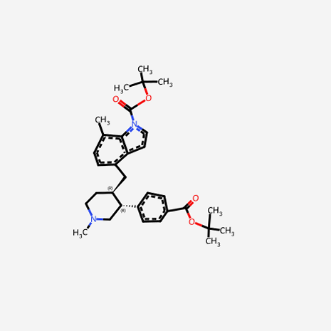 Cc1ccc(C[C@@H]2CCN(C)C[C@H]2c2ccc(C(=O)OC(C)(C)C)cc2)c2ccn(C(=O)OC(C)(C)C)c12